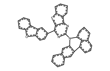 c1ccc2cc3c(cc2c1)-c1cccc2cccc(c12)N3c1nc(-c2ccc3oc4ccccc4c3c2)c2sc3ccccc3c2n1